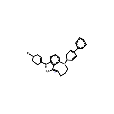 C/C1=C\CCCN(C2C=CC(c3ccccc3)=CC2)c2cccc(NC3=CCC(F)CC3)c21